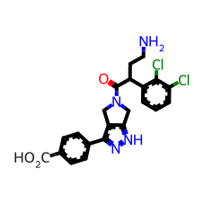 NCCC(C(=O)N1Cc2[nH]nc(-c3ccc(C(=O)O)cc3)c2C1)c1cccc(Cl)c1Cl